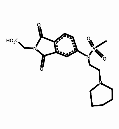 CS(=O)(=O)N(CCN1CCCCC1)c1ccc2c(c1)C(=O)N(CC(=O)O)C2=O